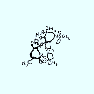 BC1(B)CN(S(C)(=O)=O)CC(B)(B)C1Nc1ncc2cc(C)c(=O)n([C@@H]3CCC[C@@]3(C)O)c2n1